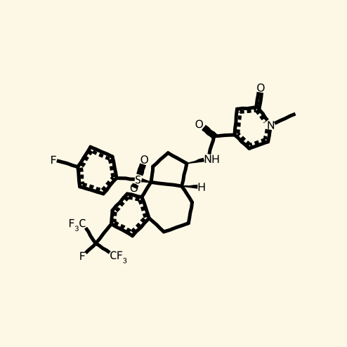 Cn1ccc(C(=O)N[C@@H]2CC[C@@]3(S(=O)(=O)c4ccc(F)cc4)c4ccc(C(F)(C(F)(F)F)C(F)(F)F)cc4CCC[C@@H]23)cc1=O